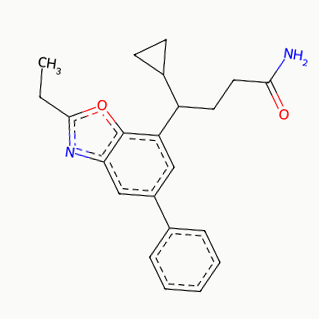 CCc1nc2cc(-c3ccccc3)cc(C(CCC(N)=O)C3CC3)c2o1